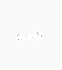 c1ccc2c(c1)sc1cccc(-c3ccc4c(c3)sc3ccc5c(ccc6sc7cc(-c8cccc9sc%10ccccc%10c89)ccc7c65)c34)c12